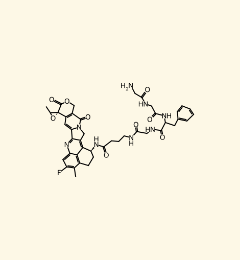 Cc1c(F)cc2nc3c(c4c2c1CC[C@@H]4NC(=O)CCCNC(=O)CNC(=O)C(Cc1ccccc1)NC(=O)CNC(=O)CN)Cn1c-3cc2c(c1=O)COC(=O)[C@@]21OC1C